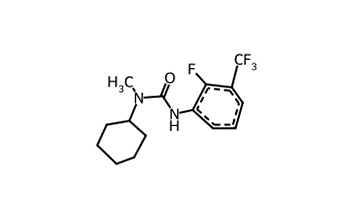 CN(C(=O)Nc1cccc(C(F)(F)F)c1F)C1CCCCC1